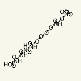 O=C(O)CNC(=O)CCNC(=O)CNC(=O)CNC(=O)CCOCCOCCOCCOCCNC(=O)CCOCCN1C(=O)C=CC1=O